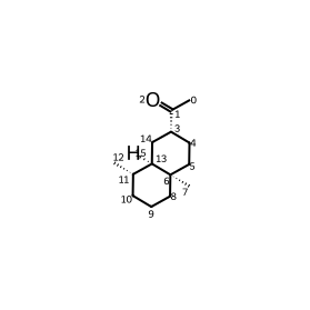 CC(=O)[C@@H]1CC[C@@]2(C)CCC[C@H](C)[C@H]2C1